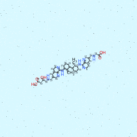 Cc1c(Nc2nccc3cc(CNCC(=O)O)cnc23)cccc1-c1cccc(Nc2nccc3cc(CNC[C@@H](O)CC(=O)O)cnc23)c1C